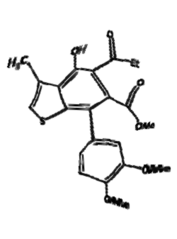 CCC(=O)c1c(C(=O)OC)c(-c2ccc(OC)c(OC)c2)c2scc(C)c2c1O